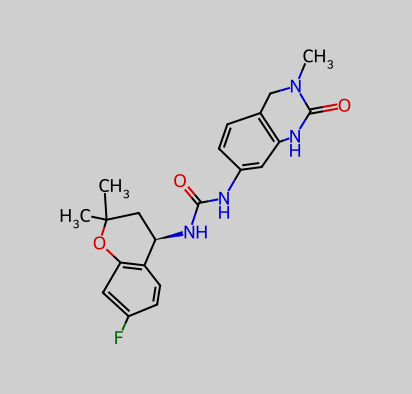 CN1Cc2ccc(NC(=O)N[C@@H]3CC(C)(C)Oc4cc(F)ccc43)cc2NC1=O